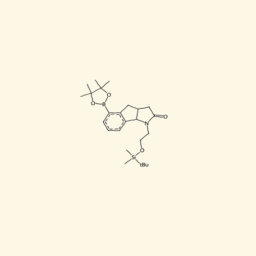 CC1(C)OB(c2cccc3c2CC2CC(=O)N(CCO[Si](C)(C)C(C)(C)C)C32)OC1(C)C